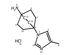 Cc1cn(C23CCC(N)(CC2)CC3)cn1.Cl